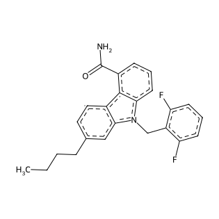 CCCCc1c[c]c2c3c(C(N)=O)cccc3n(Cc3c(F)cccc3F)c2c1